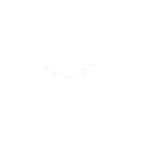 CCCCCC1OCC(CCC)S1